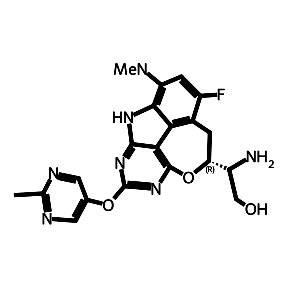 CNc1cc(F)c2c3c1[nH]c1nc(Oc4cnc(C)nc4)nc(c13)O[C@@H](C(N)CO)C2